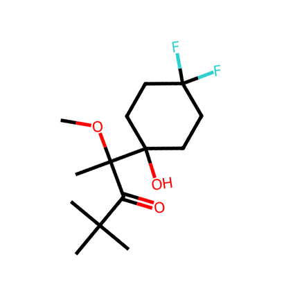 COC(C)(C(=O)C(C)(C)C)C1(O)CCC(F)(F)CC1